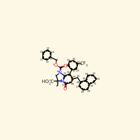 CC1(C(=O)O)CN(C(=O)OCc2ccccc2)c2c(-c3cccc(C(F)(F)F)c3)c(Cc3cccc4ccccc34)cc(=O)n21